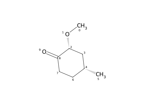 CO[C@@H]1C[C@H](C)CCC1=O